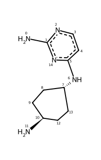 Nc1nccc(N[C@H]2CC[C@H](N)CC2)n1